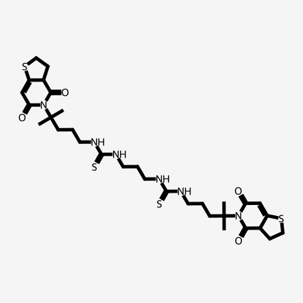 CC(C)(CCCNC(=S)NCCCNC(=S)NCCCC(C)(C)N1C(=O)C=C2SCCC2C1=O)N1C(=O)C=C2SCCC2C1=O